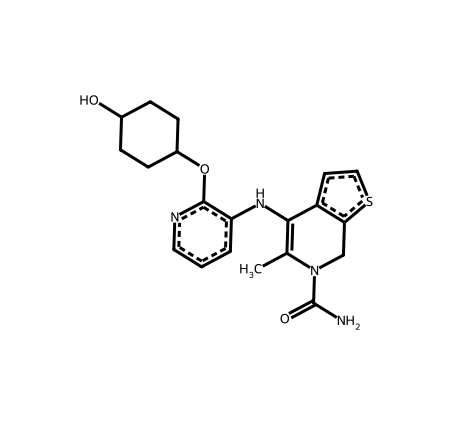 CC1=C(Nc2cccnc2OC2CCC(O)CC2)c2ccsc2CN1C(N)=O